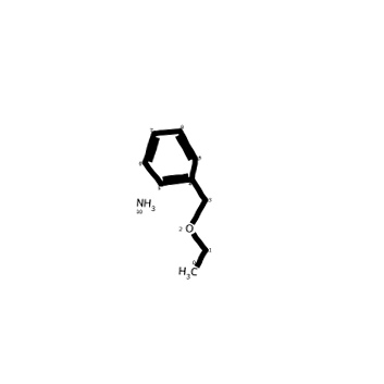 CCOCc1ccccc1.N